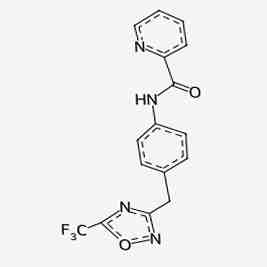 O=C(Nc1ccc(Cc2noc(C(F)(F)F)n2)cc1)c1ccccn1